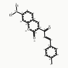 CCN(CC)c1ccc2cc(C(=O)/C=C/c3ccc(C)cc3)c(=O)oc2c1